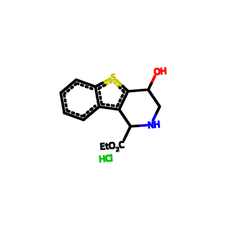 CCOC(=O)C1NCC(O)c2sc3ccccc3c21.Cl